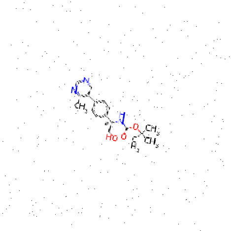 Cc1ncncc1-c1ccc([C@H](CO)NC(=O)OC(C)(C)C)cc1